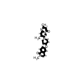 Cc1cc(=O)n2nc(N3CCC(Oc4ccc5c(c4)CCN(C)C5=O)CC3)c(C)cc2n1